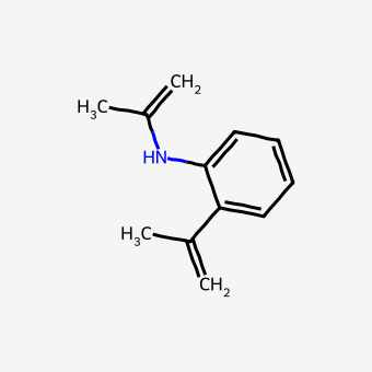 C=C(C)Nc1ccccc1C(=C)C